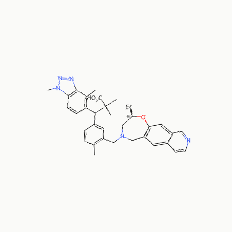 CC[C@@H]1CN(Cc2cc(C(c3ccc4c(nnn4C)c3C)C(C)(C)C(=O)O)ccc2C)Cc2cc3ccncc3cc2O1